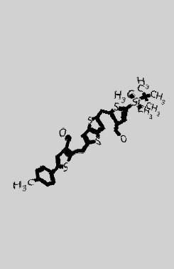 Cc1ccc(-c2cc(C=O)c(Cc3cc4sc(Cc5sc([Si](C)(C)C(C)(C)C)cc5C=O)cc4s3)s2)cc1